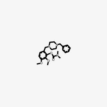 COc1ccc(CN2CCN(Cc3ccccc3)CC2)c(OC(=O)N(C)C)c1OC